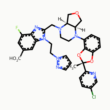 C[C@]1(c2ccc(Cl)cn2)Oc2cccc(N3CCN(Cc4nc5c(F)cc(C(=O)O)cc5n4CCn4cccn4)[C@H]4COC[C@H]43)c2O1